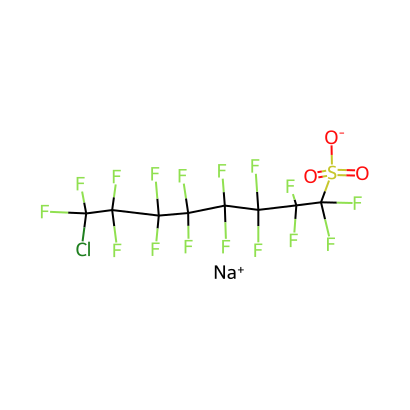 O=S(=O)([O-])C(F)(F)C(F)(F)C(F)(F)C(F)(F)C(F)(F)C(F)(F)C(F)(F)C(F)(F)Cl.[Na+]